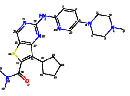 CN1CCN(c2ccc(Nc3ncc4sc(C(=O)N(C)C)c(C5CCCC5)c4n3)nc2)CC1